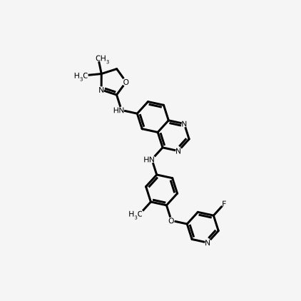 Cc1cc(Nc2ncnc3ccc(NC4=NC(C)(C)CO4)cc23)ccc1Oc1cncc(F)c1